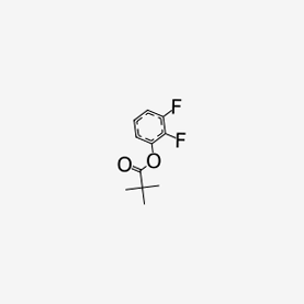 CC(C)(C)C(=O)Oc1cccc(F)c1F